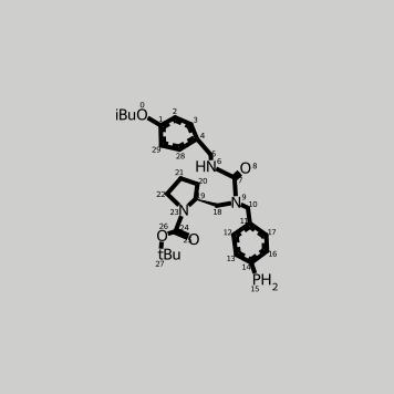 CC(C)COc1ccc(CNC(=O)N(Cc2ccc(P)cc2)C[C@@H]2CCCN2C(=O)OC(C)(C)C)cc1